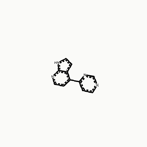 [c]1nccc(-c2ccnc3[nH]ccc23)n1